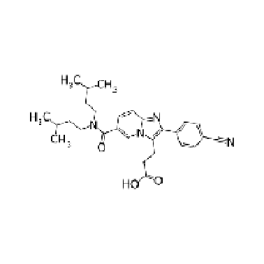 CC(C)CCN(CCC(C)C)C(=O)c1ccc2nc(-c3ccc(C#N)cc3)c(CCC(=O)O)n2c1